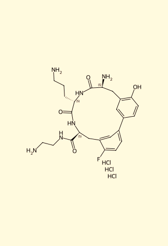 Cl.Cl.Cl.NCCC[C@@H]1NC(=O)[C@@H](N)Cc2cc(ccc2O)-c2ccc(F)c(c2)C[C@@H](C(=O)NCCN)NC1=O